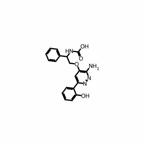 Nc1nnc(-c2ccccc2O)cc1OCC(NC(=O)O)c1ccccc1